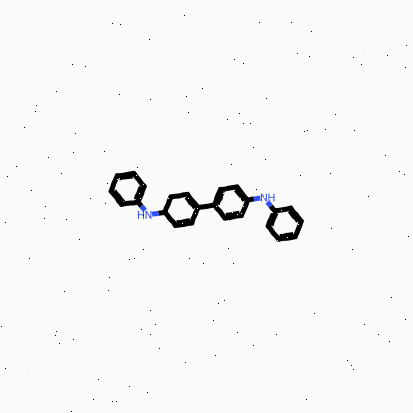 C1=CC(Nc2ccccc2)CC=C1c1ccc(Nc2ccccc2)cc1